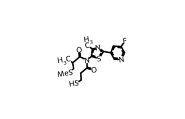 CSCC(C)C(=O)N(C(=O)CCS)c1sc(-c2cncc(F)c2)nc1C